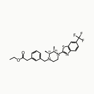 CCOC(=O)Cc1cccc(CN2CCN(c3nc4ccc(C(F)(F)F)cc4s3)[C@H](C)[C@@H]2C)c1